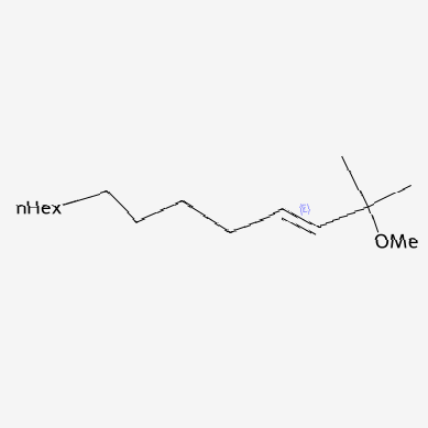 [CH2]CCCCCCCCC/C=C/C(C)(C)OC